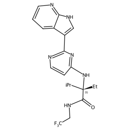 CC[C@@](Nc1ccnc(-c2c[nH]c3ncccc23)n1)(C(=O)NCC(F)(F)F)C(C)C